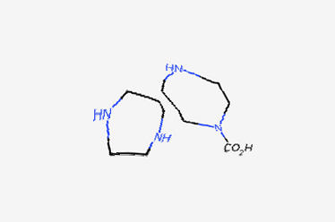 C1CNCCN1.O=C(O)N1CCNCC1